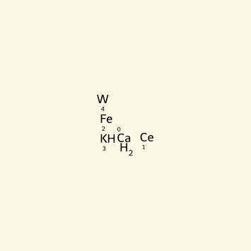 [CaH2].[Ce].[Fe].[KH].[W]